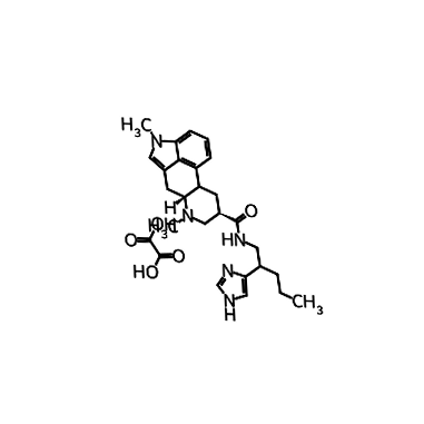 CCCC(CNC(=O)[C@@H]1CC2c3cccc4c3c(cn4C)C[C@H]2N(C)C1)c1c[nH]cn1.O=C(O)C(=O)O